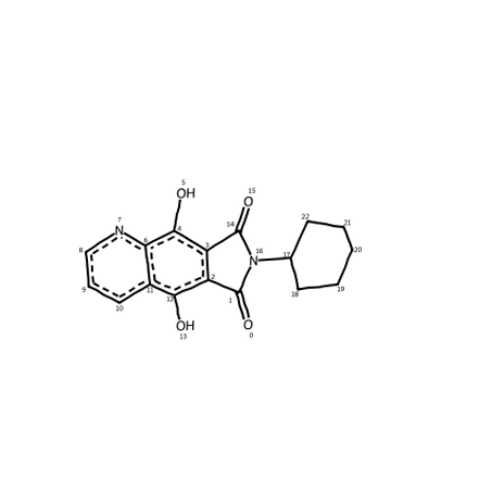 O=C1c2c(c(O)c3ncccc3c2O)C(=O)N1C1CCCCC1